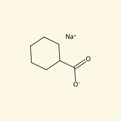 O=C([O-])C1CCCCC1.[Na+]